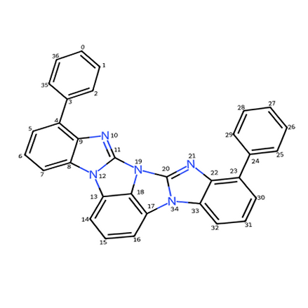 c1ccc(-c2cccc3c2nc2n3c3cccc4c3n2c2nc3c(-c5ccccc5)cccc3n42)cc1